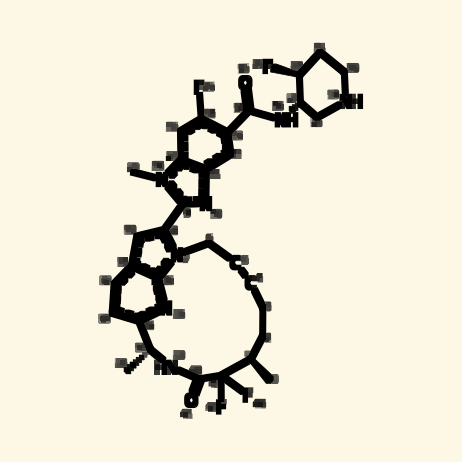 C[C@@H]1CCCCCn2c(-c3nc4cc(C(=O)N[C@H]5CNCC[C@@H]5F)c(F)cc4n3C)cc3ccc(nc32)[C@@H](C)NC(=O)C1(F)F